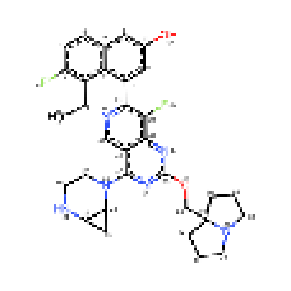 CCc1c(F)ccc2cc(O)cc(-c3ncc4c(N5CCNC6CC65)nc(OCC56CCCN5CCC6)nc4c3F)c12